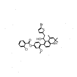 COc1cc(OC(=O)c2ccccc2Cl)ccc1-c1ccc2c(c1C(O)Cc1ccc(Br)s1)C(C)=CC(C)(C)N2